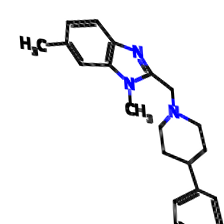 Cc1ccc2nc(CN3CCC(c4ccccc4)CC3)n(C)c2c1